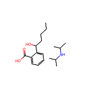 CC(C)NC(C)C.CCCCC(O)c1ccccc1C(=O)O